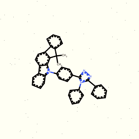 CC1(C)c2ccccc2-c2ccc3c4ccccc4n(-c4ccc(-c5nnc(-c6ccccc6)n5-c5ccccc5)cc4)c3c21